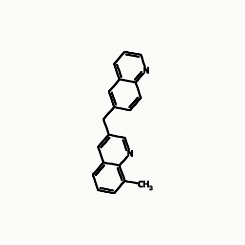 Cc1cccc2cc(Cc3ccc4ncccc4c3)cnc12